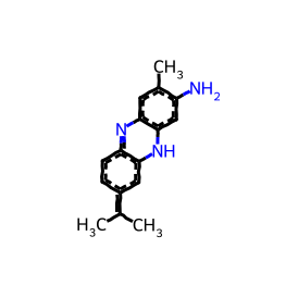 CC(C)=c1ccc2c(c1)Nc1cc(N)c(C)cc1N=2